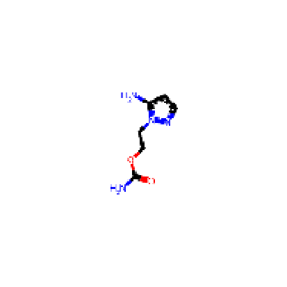 NC(=O)OCCn1nccc1N